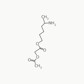 CC(=O)OCC(=O)OCCCCC(C)N